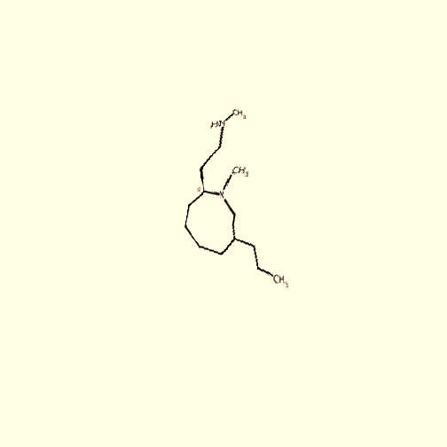 CCCC1CCCC[C@@H](CCNC)N(C)C1